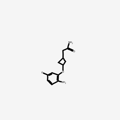 NC(=O)CC1CC(Oc2cc(F)ccc2N)C1